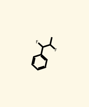 CC(F)C(F)c1c[c]ccc1